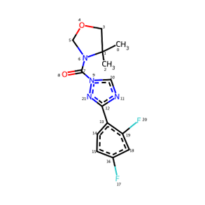 CC1(C)COCN1C(=O)n1cnc(-c2ccc(F)cc2F)n1